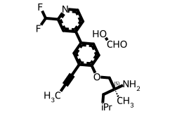 CC#Cc1cc(-c2ccnc(C(F)F)c2)ccc1OC[C@@](C)(N)CC(C)C.O=CO